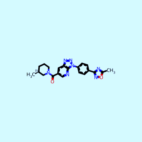 Cc1nc(-c2ccc(-n3nnc4cc(C(=O)N5CCC[C@H](C)C5)cnc43)cc2)no1